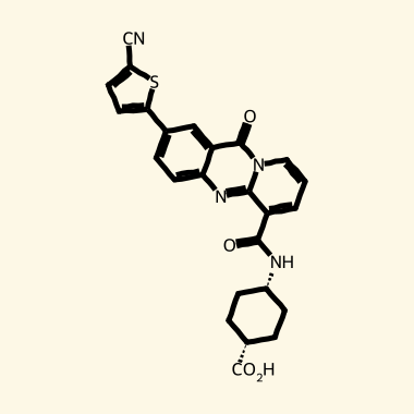 N#Cc1ccc(-c2ccc3nc4c(C(=O)N[C@H]5CC[C@@H](C(=O)O)CC5)cccn4c(=O)c3c2)s1